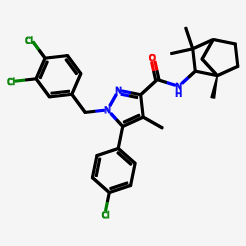 Cc1c(C(=O)NC2C(C)(C)C3CC[C@@]2(C)C3)nn(Cc2ccc(Cl)c(Cl)c2)c1-c1ccc(Cl)cc1